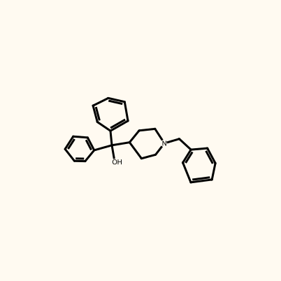 OC(c1ccccc1)(c1ccccc1)C1CCN(Cc2ccccc2)CC1